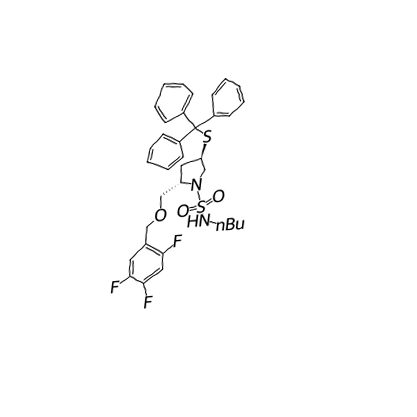 CCCCNS(=O)(=O)N1C[C@H](SC(c2ccccc2)(c2ccccc2)c2ccccc2)C[C@H]1COCc1cc(F)c(F)cc1F